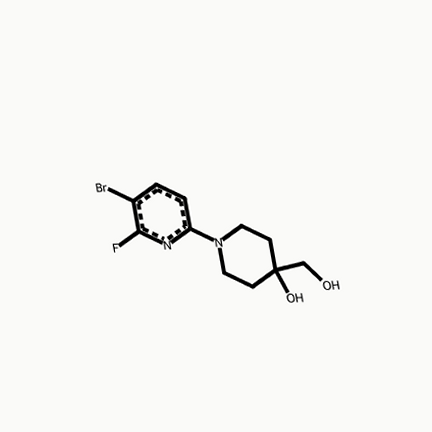 OCC1(O)CCN(c2ccc(Br)c(F)n2)CC1